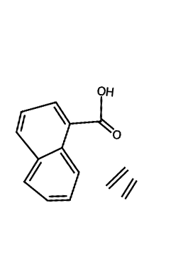 C=C.C=C.O=C(O)c1cccc2ccccc12